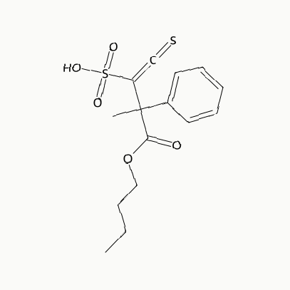 CCCCOC(=O)C(C)(C(=C=S)S(=O)(=O)O)c1ccccc1